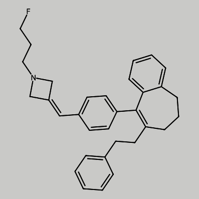 FCCCN1CC(=Cc2ccc(C3=C(CCc4ccccc4)CCCc4ccccc43)cc2)C1